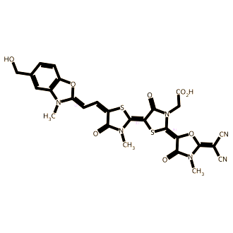 CN1/C(=C/C=c2s/c(=c3/s/c(=c4/oc(=C(C#N)C#N)n(C)c4=O)n(CC(=O)O)c3=O)n(C)c2=O)Oc2ccc(CO)cc21